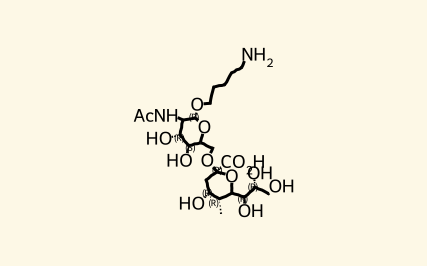 CC(=O)NC1[C@H](OCCCCCN)OC(CO[C@]2(C(=O)O)C[C@@H](O)[C@@H](C)C([C@H](O)[C@H](O)CO)O2)[C@@H](O)[C@@H]1O